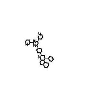 c1ccc(-c2cc(-c3ccc(-c4cc(-c5cccnc5)nc(-c5cccnc5)n4)cc3)nc3ccc4ccccc4c23)cc1